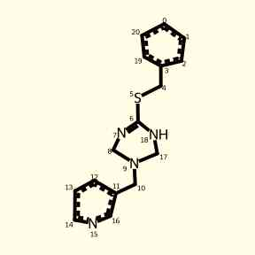 c1ccc(CSC2=NCN(Cc3cccnc3)CN2)cc1